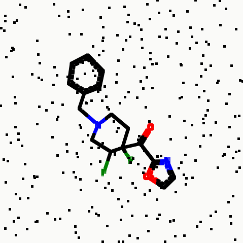 O=C(c1ncco1)C1(F)CCN(Cc2ccccc2)CC1F